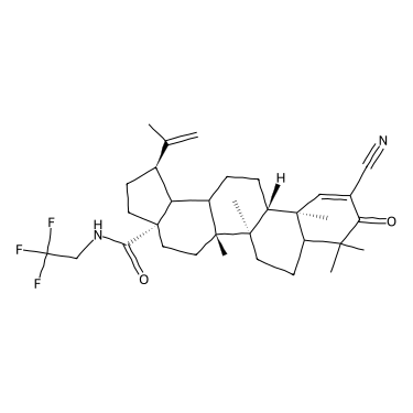 C=C(C)[C@@H]1CC[C@]2(C(=O)NCC(F)(F)F)CC[C@]3(C)C(CC[C@@H]4[C@@]5(C)C=C(C#N)C(=O)C(C)(C)C5CC[C@]43C)C12